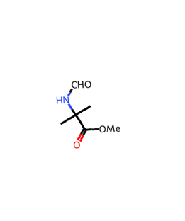 COC(=O)C(C)(C)NC=O